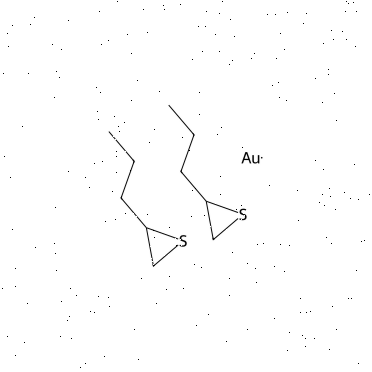 CCCC1CS1.CCCC1CS1.[Au]